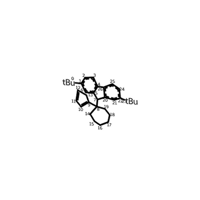 CC(C)(C)c1ccc2c(c1)C(C1(C3=CC=CC3)CCCCCC1)c1cc(C(C)(C)C)ccc1-2